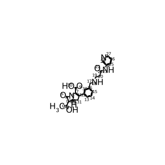 C[C@@H](O)[C@H]1C(=O)N2C(C(=O)O)=C(c3cccc(CNCCC(=O)Nc4cccnc4)c3)C[C@H]12